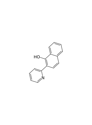 Oc1c(-c2ccccn2)ccc2ccccc12